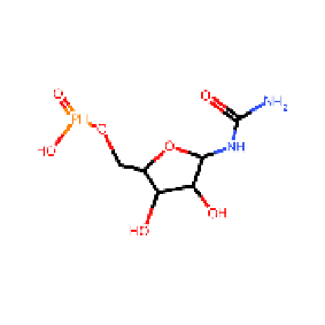 NC(=O)NC1OC(CO[PH](=O)O)C(O)C1O